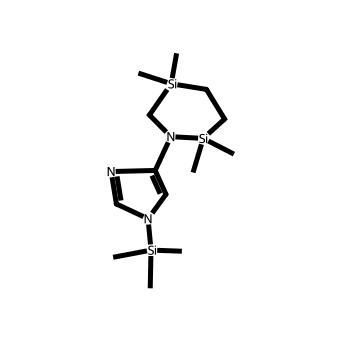 C[Si]1(C)CC[Si](C)(C)N(c2cn([Si](C)(C)C)cn2)C1